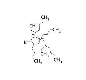 CCCCC(CC)C[P+](CCCC)(CC(CC)CCCC)CC(CC)CCCC.[Br-]